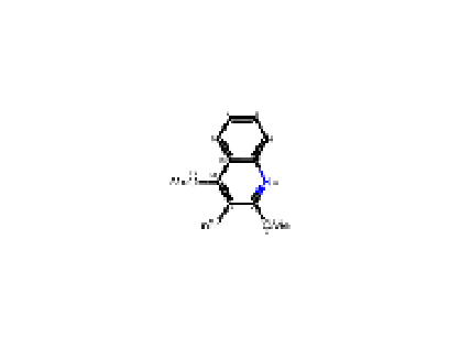 CCCc1c(OC)nc2ccccc2c1OC